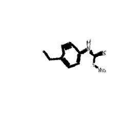 CCc1ccc(NC(=S)[S][Mo])cc1